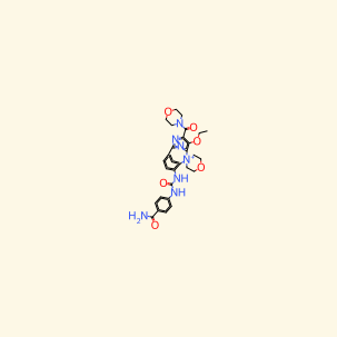 CCOc1c(C(=O)N2CCOCC2)nc2nc1[N+]1(CCOCC1)c1cc-2ccc1NC(=O)Nc1ccc(C(N)=O)cc1